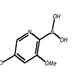 COc1cc(Cl)cnc1B(O)O